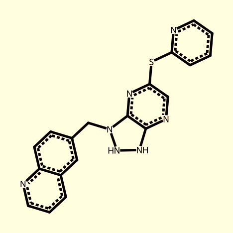 c1ccc(Sc2cnc3c(n2)N(Cc2ccc4ncccc4c2)NN3)nc1